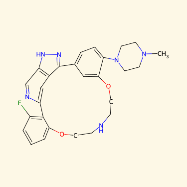 CN1CCN(c2ccc3cc2OCCNCCOc2cccc(F)c2-c2cc4c-3n[nH]c4cn2)CC1